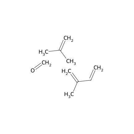 C=C(C)C.C=CC(=C)C.C=O